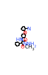 CC(N)N1C(=O)C(Nc2ccc(Oc3ccccc3C#N)cc2)=C(c2ccccc2)C1=O